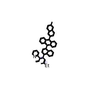 C=C/C(=C(\C=C(/C)CC)c1ccc(-c2c3ccccc3c(-c3ccc4cc(C)ccc4c3)c3ccccc23)c2ccccc12)c1ccccn1